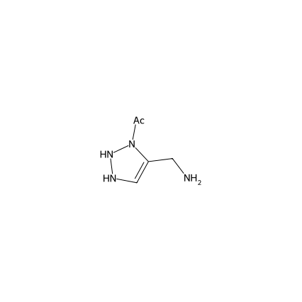 CC(=O)N1NNC=C1CN